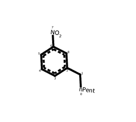 CCCCCCc1cc[c]c([N+](=O)[O-])c1